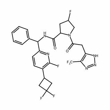 O=C(NC(c1ccccc1)c1ccc(C2CC(F)(F)C2)c(F)n1)C1CC(F)CN1C(=O)Cc1[nH]nnc1C(F)(F)F